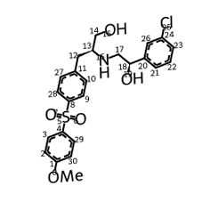 COc1ccc(S(=O)(=O)c2ccc(C[C@@H](CO)NC[C@H](O)c3cccc(Cl)c3)cc2)cc1